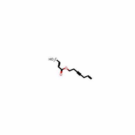 C=CCC#CCCOC(=O)C=CC(=O)O